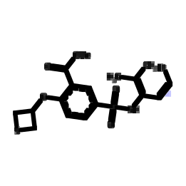 CC/C=C\C(NS(=O)(=O)c1ccc(OC2CSC2)c(C(=O)OC)c1)=C(C)C